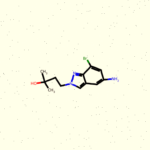 CC(C)(O)CCn1cc2cc(N)cc(Br)c2n1